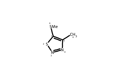 CSc1snnc1C